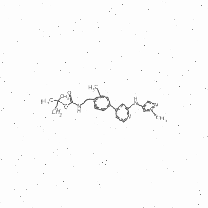 Cc1cc(-c2ccnc(Nc3cnn(C)c3)c2)ccc1CNC(=O)OC(C)(C)C